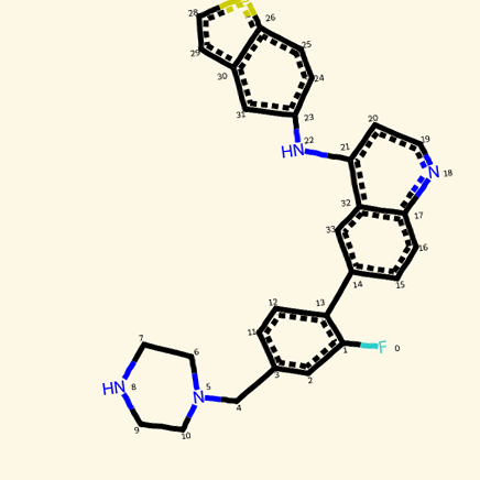 Fc1cc(CN2CCNCC2)ccc1-c1ccc2nccc(Nc3ccc4sccc4c3)c2c1